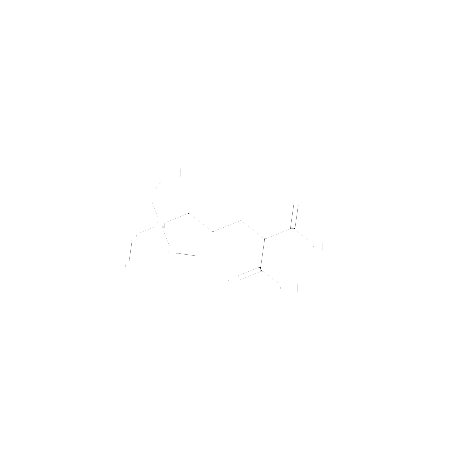 CO[Si](CCCC(C(C)=O)C(=O)O)(OC)OC